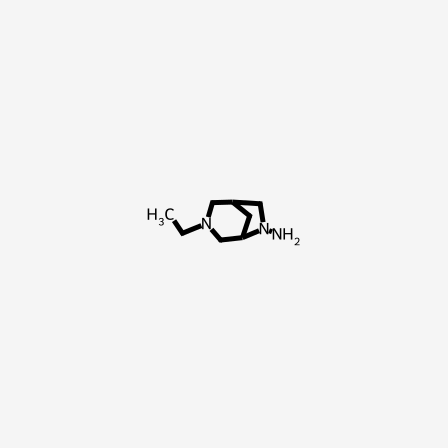 CCN1CC2CC(C1)N(N)C2